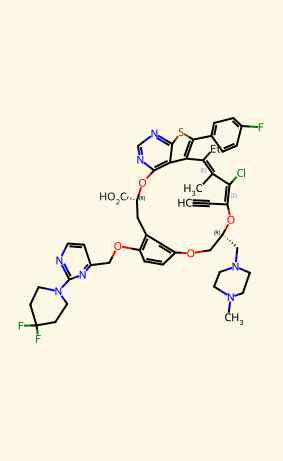 C#C/C1=C(Cl)\C(C)=C(/CC)c2c(-c3ccc(F)cc3)sc3ncnc(c23)O[C@@H](C(=O)O)Cc2cc(ccc2OCc2ccnc(N3CCC(F)(F)CC3)n2)OC[C@@H](CN2CCN(C)CC2)O1